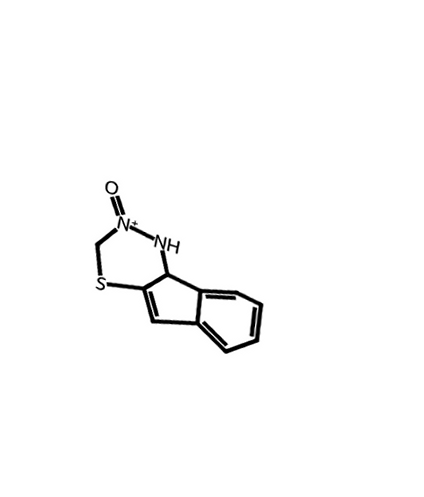 O=[N+]1CSC2=Cc3ccccc3C2N1